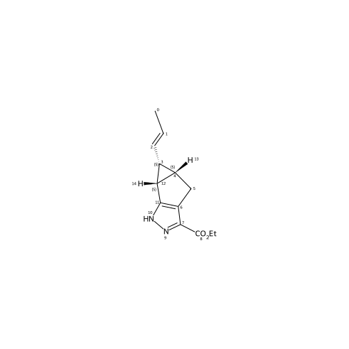 CC=C[C@@H]1[C@@H]2Cc3c(C(=O)OCC)n[nH]c3[C@H]12